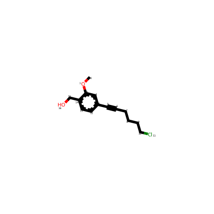 COc1cc(C#CCCCCCl)ccc1CO